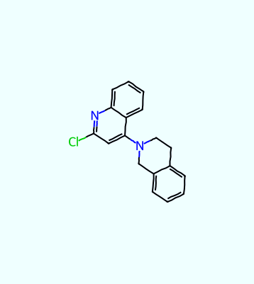 Clc1cc(N2CCc3ccccc3C2)c2ccccc2n1